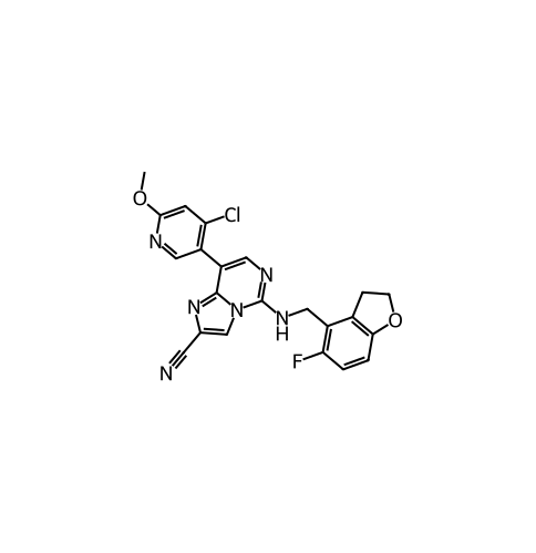 COc1cc(Cl)c(-c2cnc(NCc3c(F)ccc4c3CCO4)n3cc(C#N)nc23)cn1